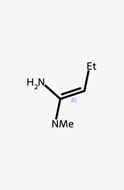 CC/C=C(\N)NC